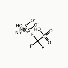 O=S(=O)(O)C(F)(F)F.O=S(=O)([O-])O.O=S(=O)([O-])O.[Na+].[Na+]